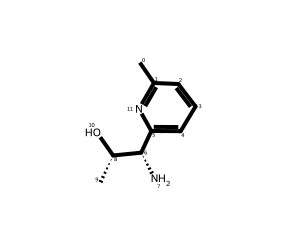 Cc1cccc([C@H](N)[C@H](C)O)n1